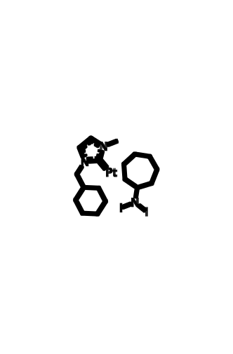 Cn1ccn(CC2CCCCC2)[c]1=[Pt].IN(I)C1CCCCCC1